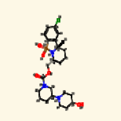 O=C(OC[C@H]1CCC[C@H]2c3cc(Cl)ccc3S(=O)(=O)N12)N1CCCC(N2CCC(O)CC2)C1